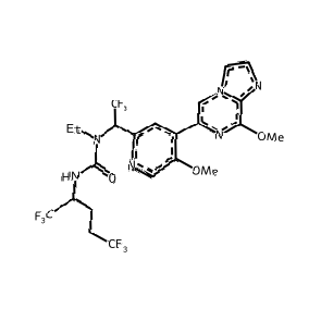 CCN(C(=O)NC(CCC(F)(F)F)C(F)(F)F)C(c1cc(-c2cn3ccnc3c(OC)n2)c(OC)cn1)C(F)(F)F